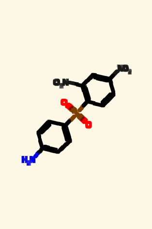 Nc1ccc(S(=O)(=O)c2ccc([N+](=O)[O-])cc2[N+](=O)[O-])cc1